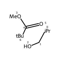 CC(C)CO.COC(=O)C(C)(C)C